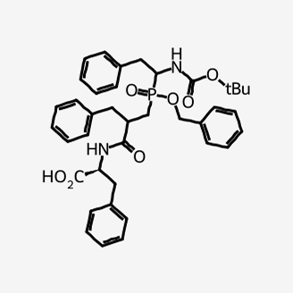 CC(C)(C)OC(=O)NC(Cc1ccccc1)P(=O)(CC(Cc1ccccc1)C(=O)N[C@@H](Cc1ccccc1)C(=O)O)OCc1ccccc1